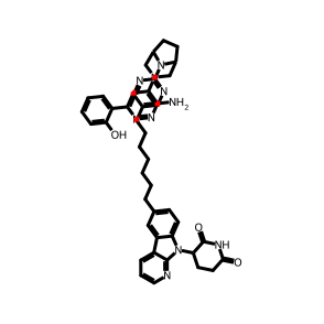 Nc1nnc(-c2ccccc2O)cc1N1CC2CCC(C1)N2c1ncc(CCCCCCCc2ccc3c(c2)c2cccnc2n3C2CCC(=O)NC2=O)cn1